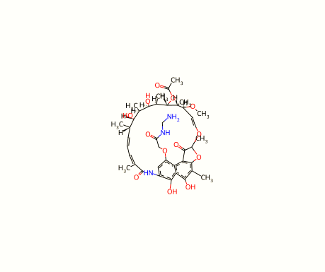 CO[C@H]1/C=C/O[C@@]2(C)Oc3c(C)c(O)c4c(O)c(cc(OCC(=O)NCN)c4c3C2=O)NC(=O)/C(C)=C\C=C\[C@H](C)[C@H](O)[C@@H](C)[C@@H](O)[C@@H](C)[C@H](OC(C)=O)[C@@H]1C